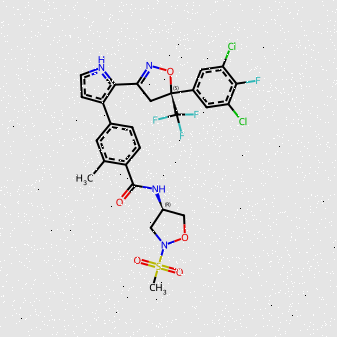 Cc1cc(-c2cc[nH]c2C2=NO[C@@](c3cc(Cl)c(F)c(Cl)c3)(C(F)(F)F)C2)ccc1C(=O)N[C@H]1CON(S(C)(=O)=O)C1